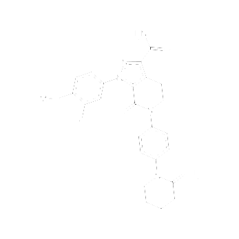 C=C1CCCCN1c1ccc(N2CCc3c(C(N)=O)nn(-c4ccc(OC)c(Cl)c4)c3C2=O)cc1